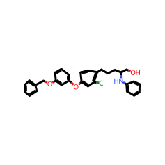 OCC(CCCc1ccc(Oc2cccc(OCc3ccccc3)c2)cc1Cl)Nc1ccccc1